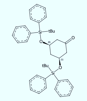 CC(C)(C)[Si](O[C@@H]1CC(=O)C[C@H](O[Si](c2ccccc2)(c2ccccc2)C(C)(C)C)C1)(c1ccccc1)c1ccccc1